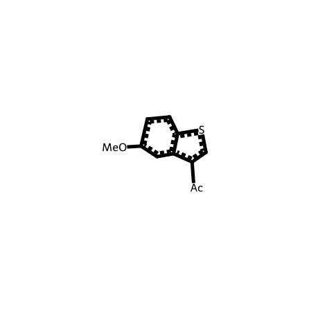 COc1ccc2scc(C(C)=O)c2c1